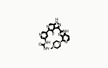 CCCC(=O)Nc1cncc(-c2ncc3[nH]nc(-c4nc5c(N6CCN(C)CC6)nccc5[nH]4)c3c2F)c1